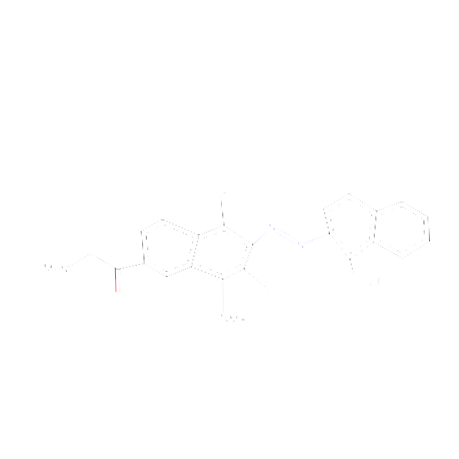 CNCC(=O)c1ccc2c(O)c(N=Nc3ccc4ccccc4c3S(=O)(=O)O)c(S(=O)(=O)O)c(NC)c2c1